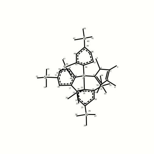 CC1=C(C)C(C)C([Si](c2ccc([Si](C)(C)C)cc2[Si](C)(C)C)(c2ccc([Si](C)(C)C)cc2[Si](C)(C)C)c2ccc([Si](C)(C)C)cc2[Si](C)(C)C)=C1C